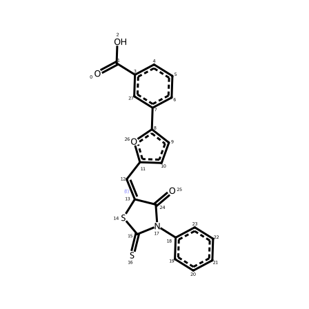 O=C(O)c1cccc(-c2ccc(/C=C3/SC(=S)N(c4ccccc4)C3=O)o2)c1